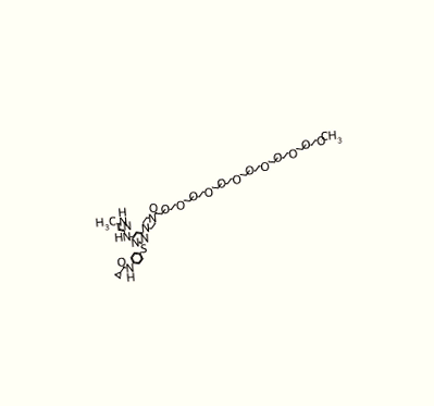 COCCOCCOCCOCCOCCOCCOCCOCCOCCOCCOCCOCC(=O)N1CCN(c2cc(Nc3cc(C)[nH]n3)nc(Sc3ccc(NC(=O)C4CC4)cc3)n2)CC1